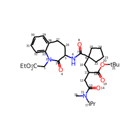 CCOC(=O)CN1C(=O)C(NC(=O)C2(CC(CC(=O)N(C)C(C)C)C(=O)OC(C)(C)C)CCCC2)CCc2ccccc21